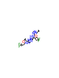 O=C(CC1CC(F)(F)C1)NC(c1ccn2cc([C@@H](NC(=O)c3ncnn3CC3CC3)C3CCC(F)(F)CC3)nc2n1)C1CC1